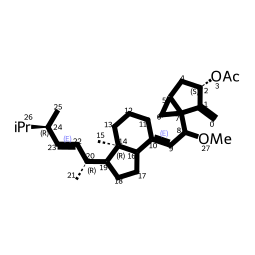 C=C1[C@@H](OC(C)=O)CC2CC12C(/C=C1\CCC[C@@]2(C)C1CCC2[C@H](C)/C=C/[C@H](C)C(C)C)OC